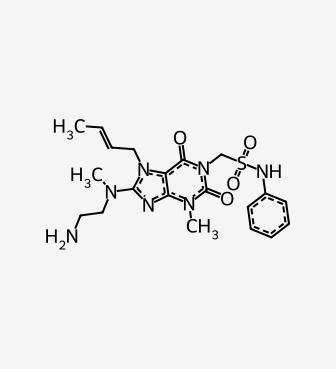 C/C=C/Cn1c(N(C)CCN)nc2c1c(=O)n(CS(=O)(=O)Nc1ccccc1)c(=O)n2C